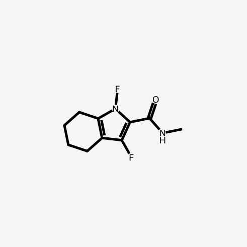 CNC(=O)c1c(F)c2c(n1F)CCCC2